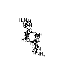 Nc1ncnc2c1ncn2[C@@H]1O[C@@H]2CO[P@@](=O)(S)O[C@@H]3C(CO[P@](=O)(S)O[C@H]2[C@@H]1F)O[C@@H](n1cnc2c(N)ncnc21)[C@H]3F